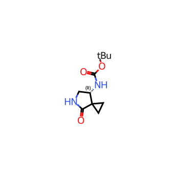 CC(C)(C)OC(=O)N[C@H]1CNC(=O)C12CC2